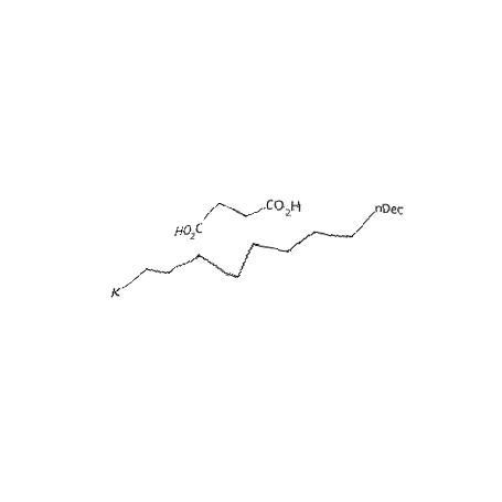 CCCCCCCCCCCCCCCCC[CH2][K].O=C(O)CCC(=O)O